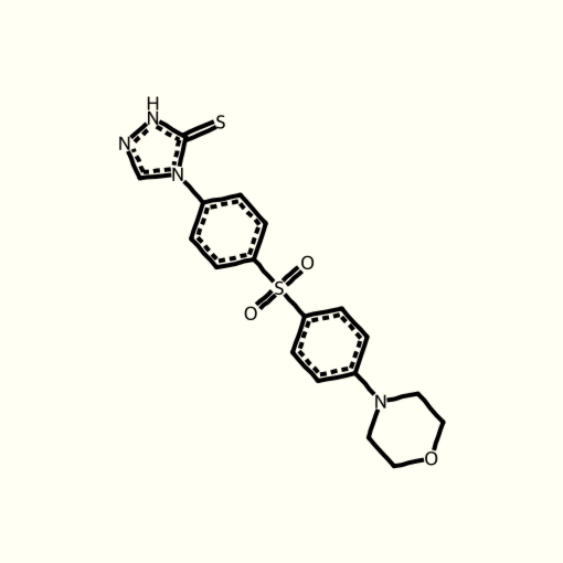 O=S(=O)(c1ccc(N2CCOCC2)cc1)c1ccc(-n2cn[nH]c2=S)cc1